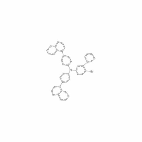 Brc1ccc(N(c2ccc(-c3cccc4ccccc34)cc2)c2ccc(-c3cccc4ccccc34)cc2)cc1-c1ccccc1